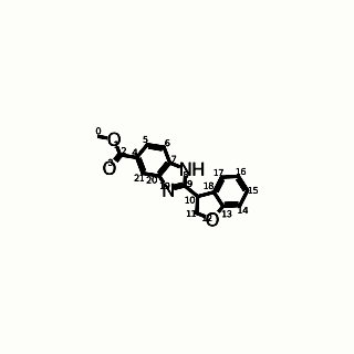 COC(=O)c1ccc2[nH]c(C3COc4ccccc43)nc2c1